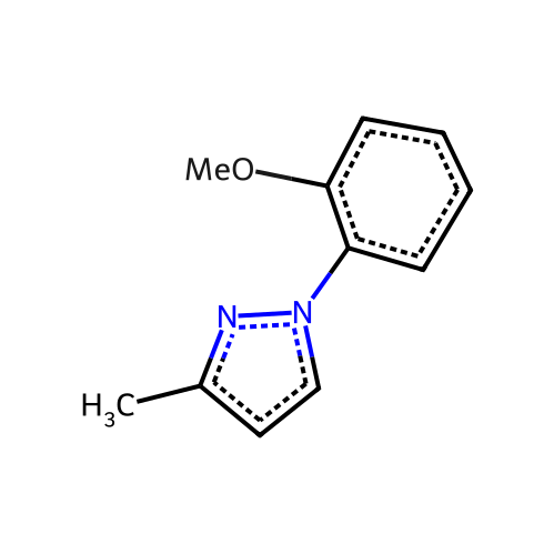 COc1ccccc1-n1ccc(C)n1